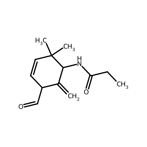 C=C1C(C=O)C=CC(C)(C)C1NC(=O)CC